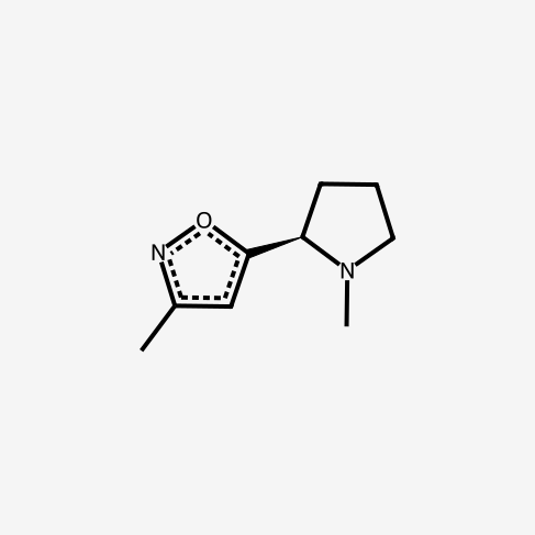 Cc1cc([C@H]2CCCN2C)on1